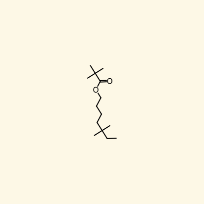 CCC(C)(C)CCCCOC(=O)C(C)(C)C